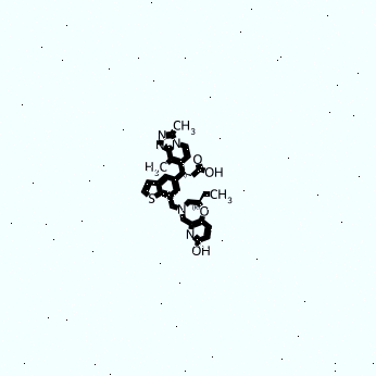 CC[C@@H]1CN(Cc2cc([C@@H](CC(=O)O)c3ccn4c(C)nnc4c3C)cc3ccsc23)Cc2nc(O)ccc2O1